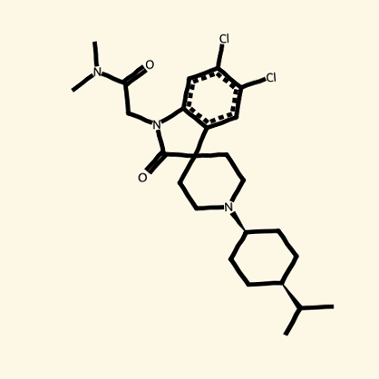 CC(C)[C@H]1CC[C@@H](N2CCC3(CC2)C(=O)N(CC(=O)N(C)C)c2cc(Cl)c(Cl)cc23)CC1